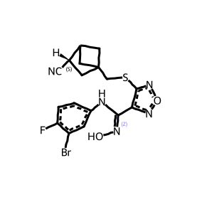 N#C[C@H]1CC2(CSc3nonc3/C(=N/O)Nc3ccc(F)c(Br)c3)CC1C2